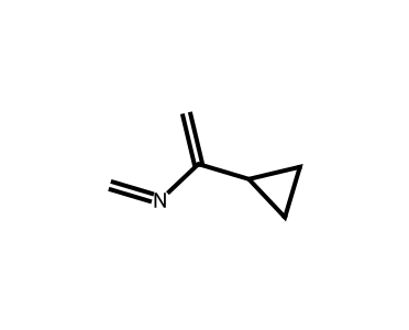 C=NC(=C)C1CC1